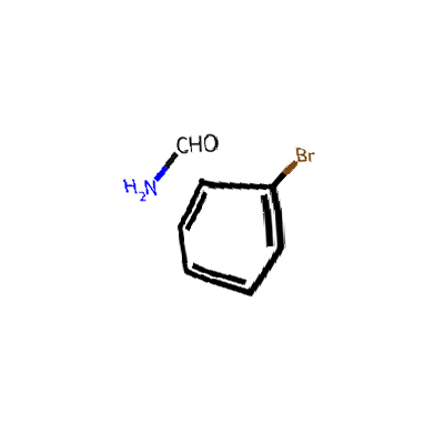 Brc1ccccc1.NC=O